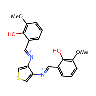 COc1cccc(/C=N/c2cscc2/N=C/c2cccc(OC)c2O)c1O